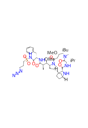 CC[C@H](C)[C@@H]([C@H](CC(=O)N1CCC[C@H]1[C@H](OC)[C@@H](C)C(=O)N[C@@H](Cc1ccccc1)C(=O)NS(=O)(=O)CCCN=[N+]=[N-])OC)N(C)C(=O)[C@@H](NC(=O)[C@H]1N[C@@H]2CC[C@H]1C2)C(C)C